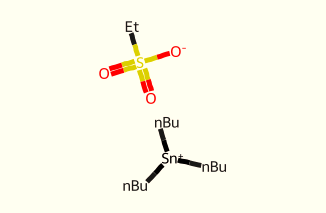 CCC[CH2][Sn+]([CH2]CCC)[CH2]CCC.CCS(=O)(=O)[O-]